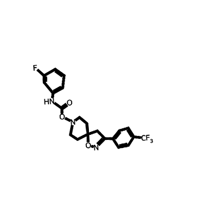 O=C(Nc1cccc(F)c1)ON1CCC2(CC1)CC(c1ccc(C(F)(F)F)cc1)=NO2